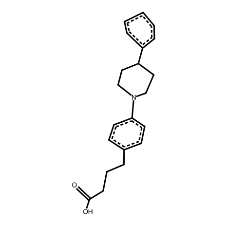 O=C(O)CCCc1ccc(N2CCC(c3ccccc3)CC2)cc1